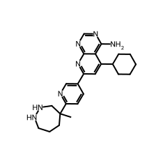 CC1(c2ccc(-c3cc(C4CCCCC4)c4c(N)ncnc4n3)cn2)CCCNNC1